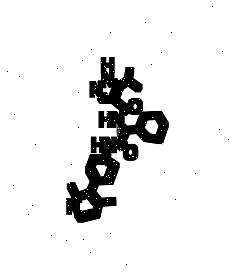 Cc1ccnc(C)c1-c1ccc(NC(=O)[C@@H](NC(=O)c2cn[nH]c2C(C)C)C2CCCCC2)cc1